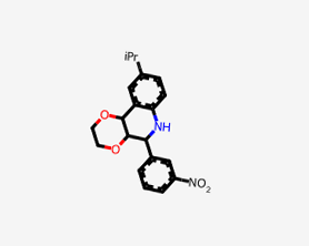 CC(C)c1ccc2c(c1)C1OCCOC1C(c1cccc([N+](=O)[O-])c1)N2